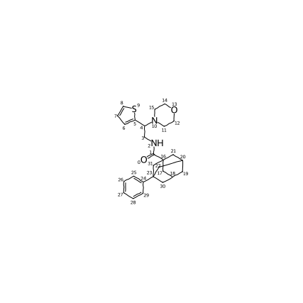 O=C(NCC(c1cccs1)N1CCOCC1)C12CC3CC(C1)CC(c1ccccc1)(C3)C2